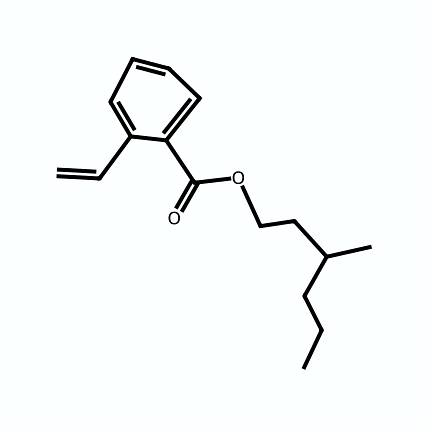 C=Cc1ccccc1C(=O)OCCC(C)CCC